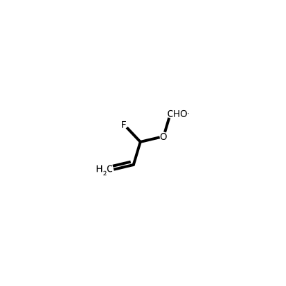 C=CC(F)O[C]=O